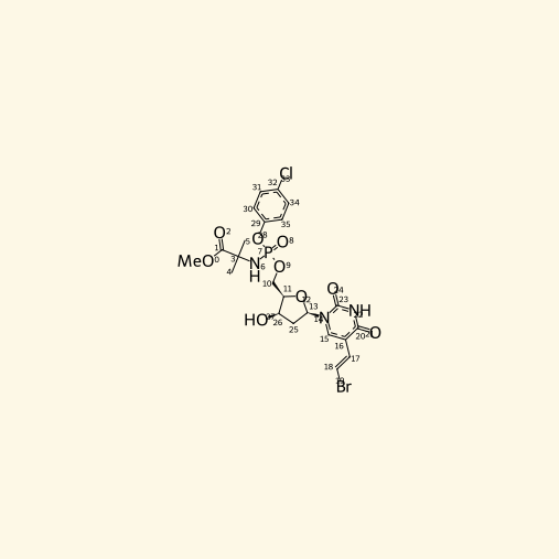 COC(=O)C(C)(C)NP(=O)(OC[C@H]1O[C@@H](n2cc(/C=C/Br)c(=O)[nH]c2=O)C[C@H]1O)Oc1ccc(Cl)cc1